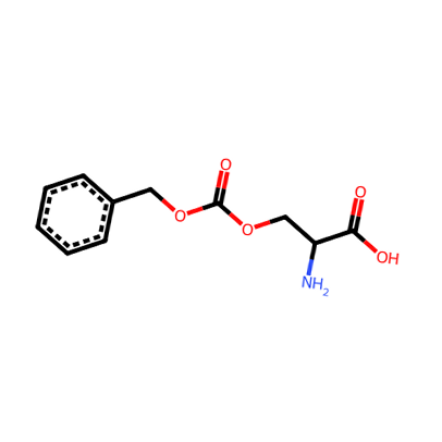 NC(COC(=O)OCc1ccccc1)C(=O)O